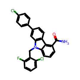 NC(=O)c1cccc2c1c1[c]cc(-c3ccc(Cl)cc3)cc1n2Cc1c(F)cccc1Cl